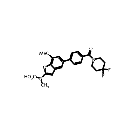 COc1cc(-c2ccc(C(=O)N3CCC(F)(F)CC3)cc2)cc2cc(N(C)C(=O)O)oc12